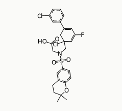 CC1(C)CCc2cc(S(=O)(=O)N(CC(=O)O)CC3(Cl)C=C(F)C=C(c4cccc(Cl)c4)C3)ccc2O1